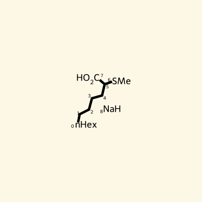 CCCCCCCCCCC(SC)C(=O)O.[NaH]